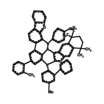 Cc1ccccc1-c1cc2c3c(c1)N(c1ccc(C(C)(C)C)cc1-c1ccccc1)c1oc4cc5c(cc4c1B3N(c1ccc(C(C)(C)C)cc1)c1c-2ccc2c1oc1ccccc12)C(C)(C)CCC5(C)C